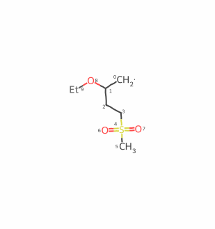 [CH2]C(CCS(C)(=O)=O)OCC